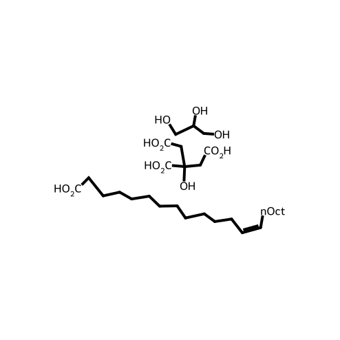 CCCCCCCC/C=C\CCCCCCCCCCCC(=O)O.O=C(O)CC(O)(CC(=O)O)C(=O)O.OCC(O)CO